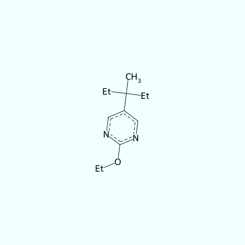 CCOc1ncc(C(C)(CC)CC)cn1